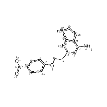 Nc1nc(CCOc2ccc([N+](=O)[O-])cc2)nc2[nH]cnc12